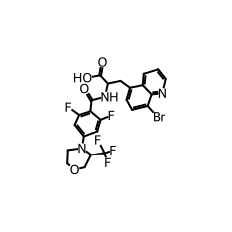 O=C(NC(Cc1ccc(Br)c2ncccc12)C(=O)O)c1c(F)cc(N2CCOC[C@@H]2C(F)(F)F)cc1F